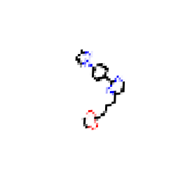 [c]1cc(CCCC2OCCO2)nc(-c2ccc(-n3cccn3)cc2)n1